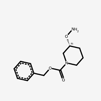 NO[C@@H]1CCCN(C(=O)OCc2ccccc2)C1